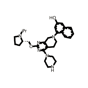 CC(C)N1CCC[C@H]1COc1nc2c(c(N3CCNCC3)n1)CCN(c1cc(O)cc3ccccc13)C2